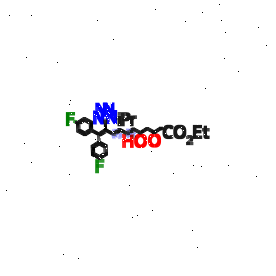 CCOC(=O)CC(=O)CC(O)/C=C/C=C/C(=C(c1ccc(F)cc1)c1ccc(F)cc1)c1nnnn1C(C)C